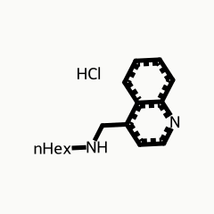 CCCCCCNCc1ccnc2ccccc12.Cl